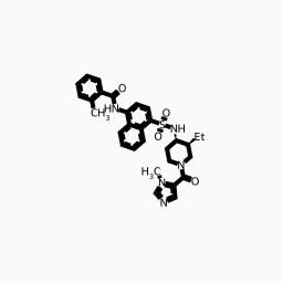 CC[C@H]1CN(C(=O)c2cncn2C)CC[C@@H]1NS(=O)(=O)c1ccc(NC(=O)c2ccccc2C)c2ccccc12